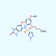 CCCOc1cc(OCCCOC)cc(Oc2cc3c(cc2NS(=O)(=O)c2cnn(C)c2)n(C)c(=O)n3C)c1